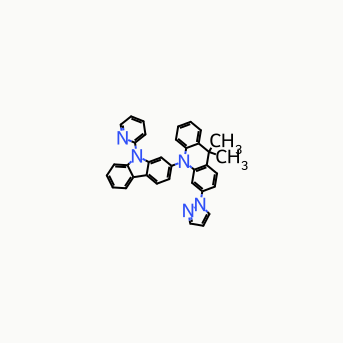 CC1(C)c2ccccc2N(c2ccc3c4ccccc4n(-c4ccccn4)c3c2)c2cc(-n3cccn3)ccc21